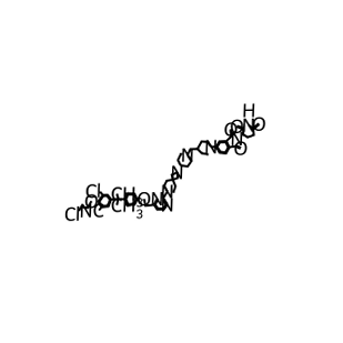 CC(C)(c1ccc(OCc2ccnc(N3CCC4(CC3)CN(C3CCN(CC5CCN(c6ccc7c(c6)C(=O)N(C6CCC(=O)NC6=O)C7=O)CC5)CC3)C4)n2)cc1)c1cc(Cl)c(OCCCl)c(C#N)c1